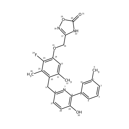 Cc1cccc(-c2nc(Cc3c(C)cc(OCc4noc(=O)[nH]4)c(F)c3C)ccc2O)c1